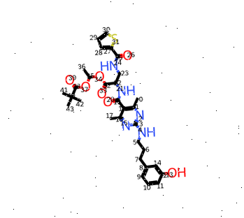 Cc1nc(NCCCc2cccc(O)c2)nc(C)c1C(=O)NC(CNC(=O)c1cccs1)C(=O)OC(C)OC(=O)C(C)(C)C